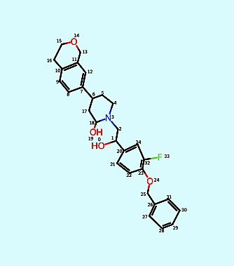 OC(CN1CCC(c2ccc3c(c2)COCC3)CC1O)c1ccc(OCc2ccccc2)c(F)c1